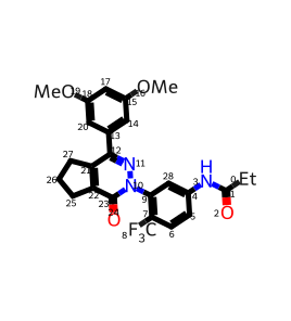 CCC(=O)Nc1ccc(C(F)(F)F)c(-n2nc(-c3cc(OC)cc(OC)c3)c3c(c2=O)CCC3)c1